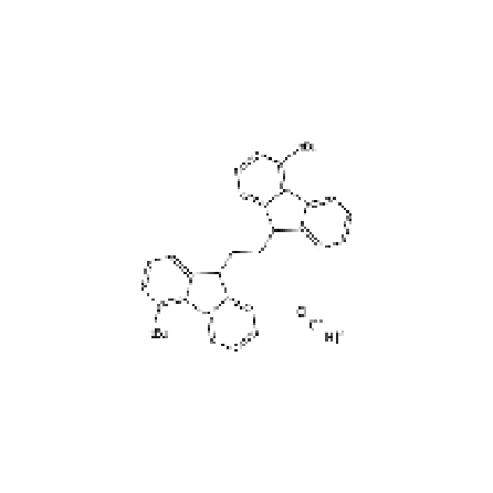 CC(C)(C)c1cccc2c1-c1ccccc1C2CCC1c2ccccc2-c2c1cccc2C(C)(C)C.[Cl-].[Cl-].[Hf+2]